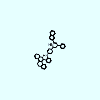 C1=CC2=C3CCc4ccccc4C3=C(c3ccccc3NC3=CCC(C4CC(c5ccccc5)C=C(c5ccc6ccccc6c5)N4)C=C3)CC2CC1